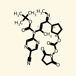 C/N=C(\C=C(/C)N(C(=O)OC(C)(C)C)c1cnc(C#N)cn1)[C@H]1CC[C@@H](OC(=O)ON2C(=O)CCC2=O)C1